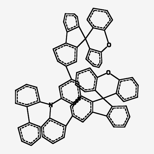 c1ccc(-c2ccccc2N(c2cccc(-c3ccc4c(c3)C3(c5ccccc5Oc5ccccc53)c3ccccc3-4)c2)c2ccccc2-c2ccc3c(c2)-c2ccccc2C32c3ccccc3Oc3ccccc32)cc1